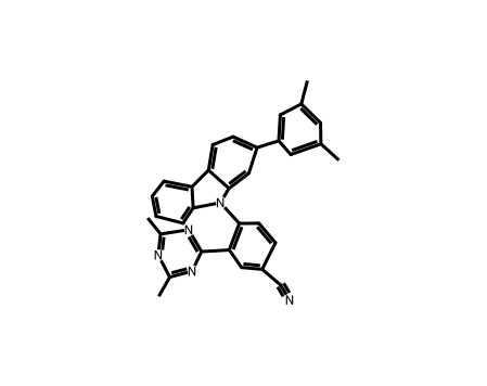 Cc1cc(C)cc(-c2ccc3c4ccccc4n(-c4ccc(C#N)cc4-c4nc(C)nc(C)n4)c3c2)c1